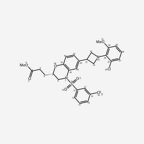 COC(=O)CC[C@H]1CN(S(=O)(=O)c2cccc(C(F)(F)F)c2)c2cc(C3CN(c4c(Cl)cccc4OC)C3)ccc2O1